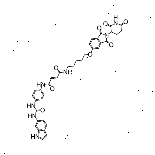 O=C(/C=C/C(=O)Nc1ccc(NC(=O)Nc2ccc3cc[nH]c3c2)cc1)NCCCCCOc1ccc2c(c1)C(=O)N(C1CCC(=O)NC1=O)C2=O